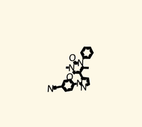 Cc1c(-c2ccnn2-c2ccc(C#N)cc2)c(=O)n(C)c(=O)n1-c1ccccc1